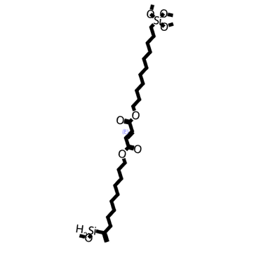 C=C(CCCCCCCCCOC(=O)/C=C/C(=O)OCCCCCCCCCCC[Si](OC)(OC)OC)[SiH2]OC